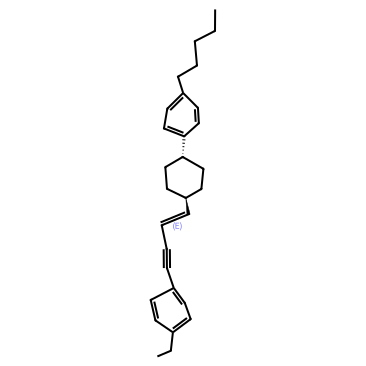 CCCCCc1ccc([C@H]2CC[C@H](/C=C/C#Cc3ccc(CC)cc3)CC2)cc1